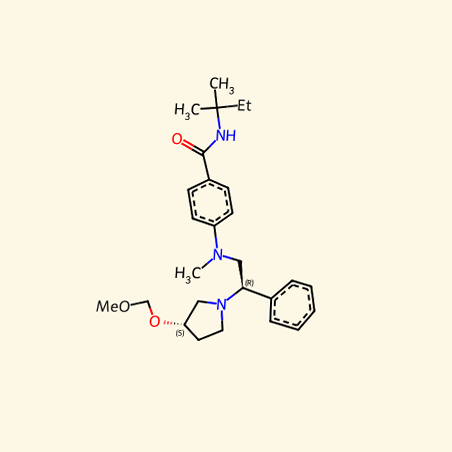 CCC(C)(C)NC(=O)c1ccc(N(C)C[C@@H](c2ccccc2)N2CC[C@H](OCOC)C2)cc1